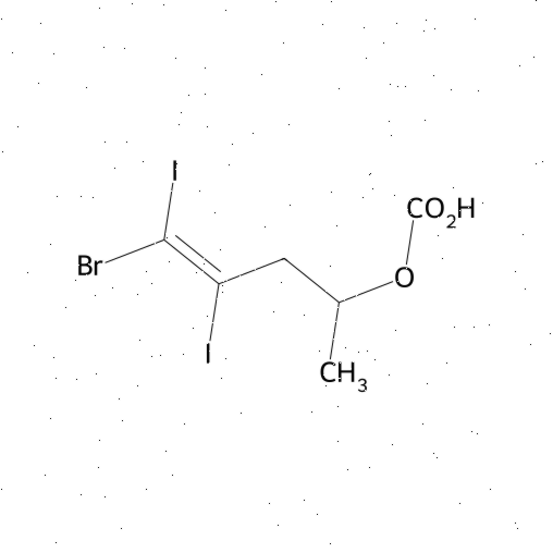 CC(CC(I)=C(Br)I)OC(=O)O